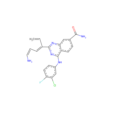 C=C/C(=C\C=C/N)c1nc(Nc2ccc(F)c(Cl)c2)c2ccc(C(N)=O)cc2n1